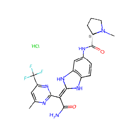 Cc1cc(C(F)(F)F)nc(C(C(N)=O)=C2Nc3ccc(NC(=O)[C@@H]4CCCN4C)cc3N2)n1.Cl